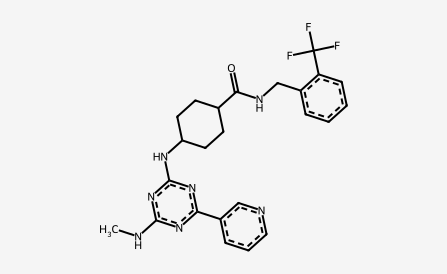 CNc1nc(NC2CCC(C(=O)NCc3ccccc3C(F)(F)F)CC2)nc(-c2cccnc2)n1